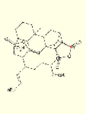 CCCC/C=C/C(CCC(CCCCCCC)OC1C(C(C)C)C2CC3C4(C)CCCC(C)(C(=O)O)C4CCC13C1C(=O)OC(=O)C21)C1CC(=O)OC1=O